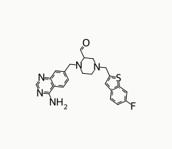 Nc1ncnc2cc(CN3CCN(Cc4cc5ccc(F)cc5s4)CC3C=O)ccc12